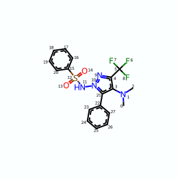 CN(C)c1c(C(F)(F)F)nn(NS(=O)(=O)c2ccccc2)c1-c1ccccc1